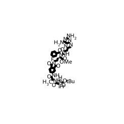 COC(=O)[C@H](CCCN1C(=O)c2ccc(NC(=O)[C@H](C)NC(=O)[C@@H](NC(=O)OC(C)(C)C)C(C)C)cc2C1=O)N(NC(=O)Cc1cnc2nc(N)nc(N)c2n1)C(=O)c1cccc(F)c1